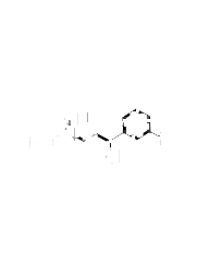 C[N+](C)=C/C=C(\Cl)c1cccc(F)c1